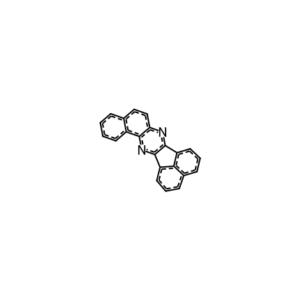 c1cc2c3c(cccc3c1)-c1nc3c(ccc4ccccc43)nc1-2